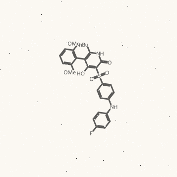 CCCCc1[nH]c(=O)c(S(=O)(=O)c2ccc(Nc3ccc(F)cc3)cc2)c(O)c1-c1c(OC)cccc1OC